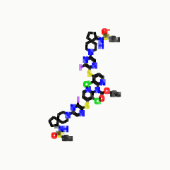 CC(C)(C)OC(=O)N(c1nccc(Sc2ncc(N3CCC4(CCC[C@H]4N[S@+]([O-])C(C)(C)C)CC3)nc2I)c1Cl)c1nccc(Sc2ncc(N3CCC4(CCC[C@H]4N[S@+]([O-])C(C)(C)C)CC3)nc2I)c1Cl